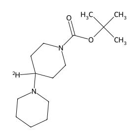 [2H]C1(N2CCCCC2)CCN(C(=O)OC(C)(C)C)CC1